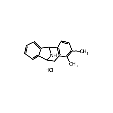 Cc1ccc2c(c1C)CC1NC2c2ccccc21.Cl